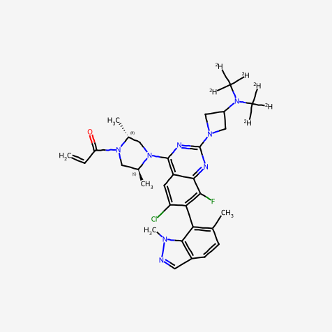 [2H]C([2H])([2H])N(C1CN(c2nc(N3C[C@@H](C)N(C(=O)C=C)C[C@@H]3C)c3cc(Cl)c(-c4c(C)ccc5cnn(C)c45)c(F)c3n2)C1)C([2H])([2H])[2H]